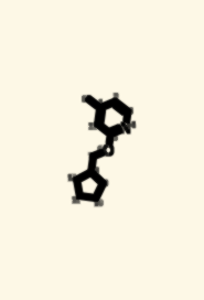 Cc1ccnc(OCC2CCCC2)c1